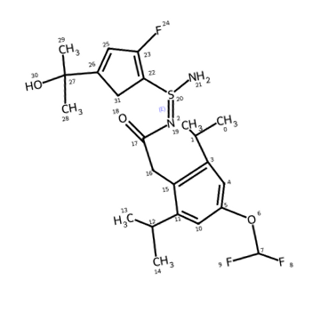 CC(C)c1cc(OC(F)F)cc(C(C)C)c1CC(=O)/N=S(/N)C1=C(F)C=C(C(C)(C)O)C1